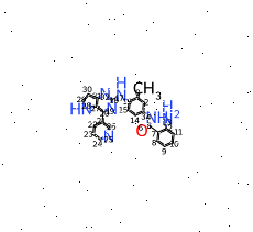 Cc1cc(NC(=O)c2ccccc2N)ccc1Nc1nc(-c2cccnc2)c2[nH]ccc2n1